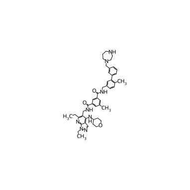 CCc1nc2c(cnn2CC)c(NC2CCOCC2)c1CNC(=O)c1cc(C)cc(C(=O)NCc2ccc(C)c(-c3cccc(CN4CCCNCC4)c3)c2)c1